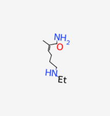 CCNCCCC=C(C)C(N)=O